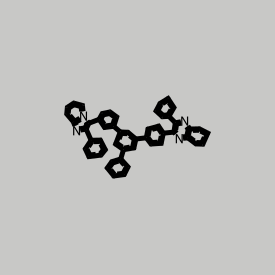 c1ccc(-c2cc(-c3ccc(-c4nc5ccccc5nc4-c4ccccc4)cc3)cc(-c3cccc(-c4c(-c5ccccc5)nc5ccccn45)c3)c2)cc1